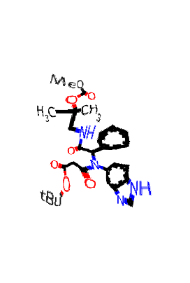 COC(=O)OC(C)(C)CNC(=O)C(c1ccccc1)N(C(=O)CC(=O)OC(C)(C)C)c1ccc2[nH]cnc2c1